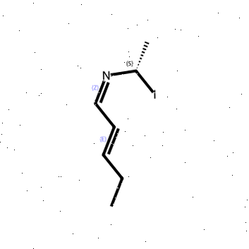 CC/C=C/C=N\[C@H](C)I